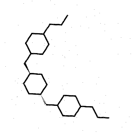 CCCC1CCC(C[C@H]2CC[C@H](CC3CCC(CCC)CC3)CC2)CC1